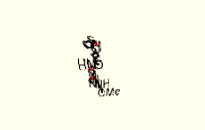 COCCNc1nccc(N2CC(NC(=O)C3CC(Oc4cccc5scnc45)C3)C2)n1